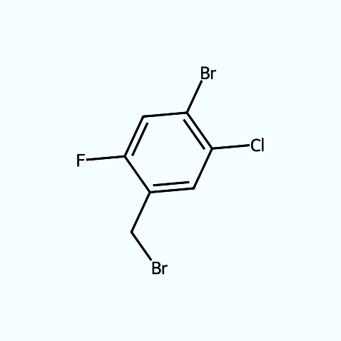 Fc1cc(Br)c(Cl)cc1CBr